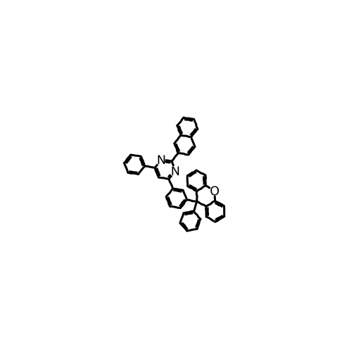 c1ccc(-c2cc(-c3cccc(C4(c5ccccc5)c5ccccc5Oc5ccccc54)c3)nc(-c3ccc4ccccc4c3)n2)cc1